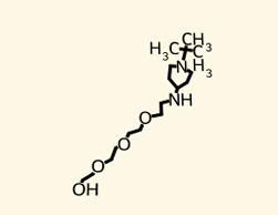 CC(C)(C)N1CCC(NCCOCCOCCOCCO)CC1